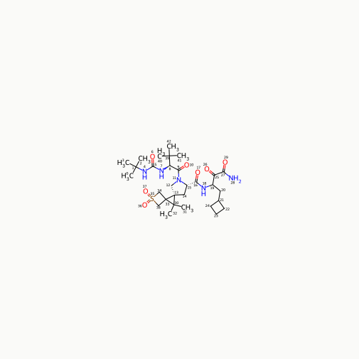 CC(C)(C)NC(=O)N[C@H](C(=O)N1C[C@]2(C[C@H]1C(=O)NC(CC1CCC1)C(=O)C(N)=O)C(C)(C)C21CS(=O)(=O)C1)C(C)(C)C